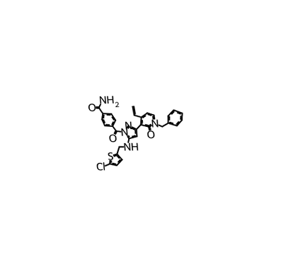 C=Cc1ccn(Cc2ccccc2)c(=O)c1-c1cc(NCc2ccc(Cl)s2)n(C(=O)c2ccc(C(N)=O)cc2)n1